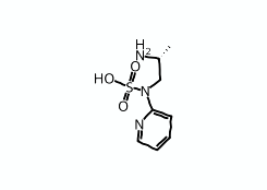 C[C@@H](N)CN(c1ccccn1)S(=O)(=O)O